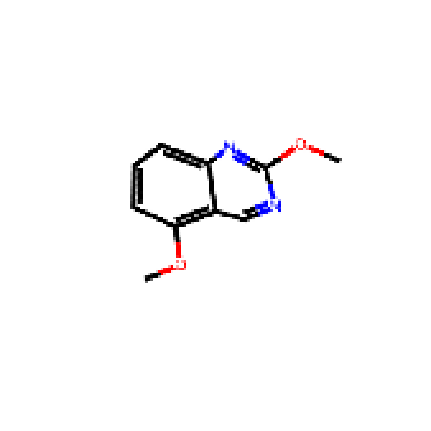 COc1n[c]c2c(OC)cccc2n1